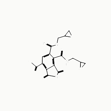 N=C(NCC1CO1)c1cc(C(=O)O)c2c(c1C(=O)NCC1CO1)C(=O)NC2=O